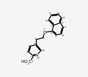 O=C(O)c1ccc(CCOc2cccc3ccccc23)cn1